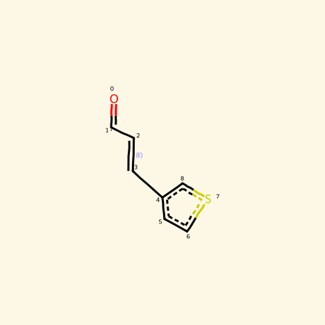 O=[C]/C=C/c1ccsc1